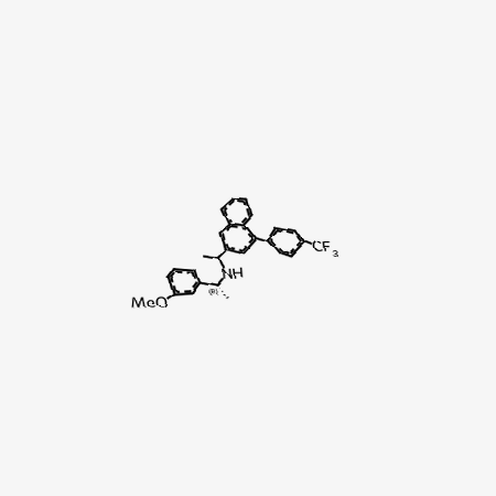 COc1cccc([C@@H](C)NC(C)c2cc(-c3ccc(C(F)(F)F)cc3)c3ccccc3c2)c1